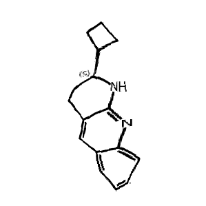 [c]1ccc2cc3c(nc2c1)N[C@H](C1CCC1)CC3